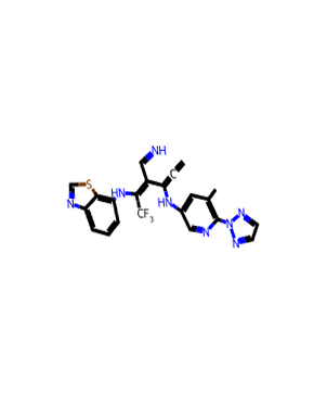 C=C=C(Nc1cnc(-n2nccn2)c(C)c1)/C(C=N)=C(/Nc1cccc2ncsc12)C(F)(F)F